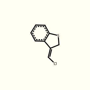 ClC=C1CSc2ccccc21